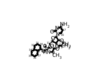 CCOC(=O)[C@H](C)NP(=O)(OC[C@H]1O[C@@H](n2ccc(N)nc2=O)C(OC)C1O)Oc1cccc2ccccc12